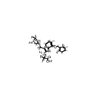 Cc1nc2c(OCc3c(F)cccc3F)cccn2c1C(=O)NC(CO)CC(F)(F)F.O=C(O)C(F)(F)F